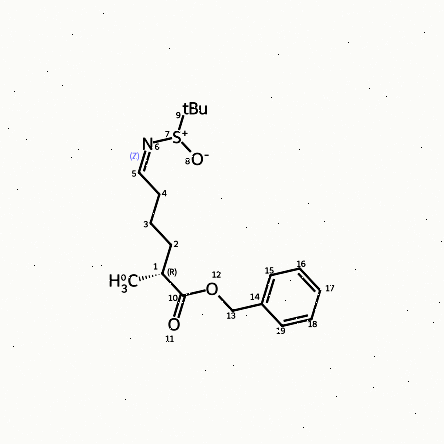 C[C@H](CCC/C=N\[S+]([O-])C(C)(C)C)C(=O)OCc1ccccc1